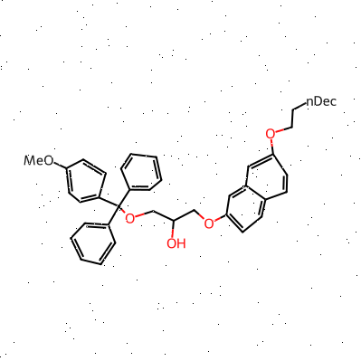 CCCCCCCCCCCCOc1ccc2ccc(OCC(O)COC(c3ccccc3)(c3ccccc3)c3ccc(OC)cc3)cc2c1